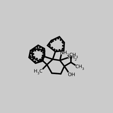 CC(C)C1(O)CCC(C)(c2ccccc2)C(c2ccccc2)(c2ccccc2)C1(N)N